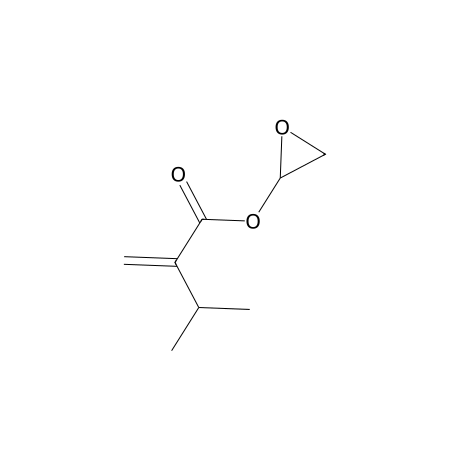 C=C(C(=O)OC1CO1)C(C)C